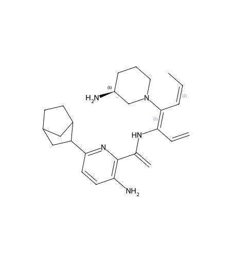 C=C/C(NC(=C)c1nc(C2CC3CCC2C3)ccc1N)=C(\C=C/C)N1CCC[C@H](N)C1